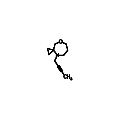 CC#CCN1CCCOCC12CC2